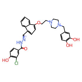 O=C(N/N=C/c1ccc(OCCN2CCN(Cc3ccc(O)c(O)c3)CC2)c2ccccc12)c1ccc(O)c(Cl)c1